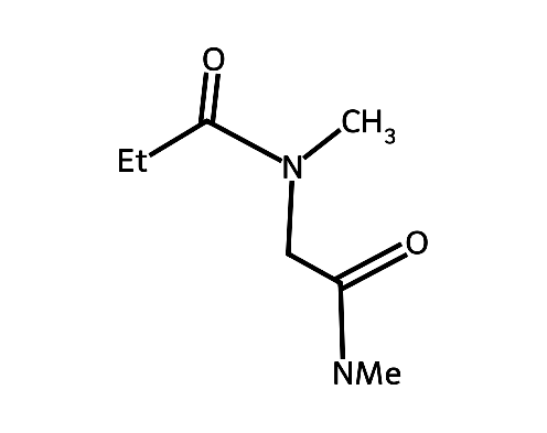 CCC(=O)N(C)CC(=O)NC